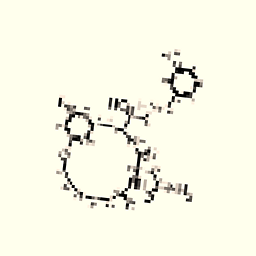 CCc1cccc(CNCC(O)C2Cc3cc(F)cc(c3)OCCCCCC(=O)NC(CC(N)=O)C(=O)N2)c1